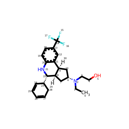 CCN(CCO)[C@@H]1C[C@@H]2[C@H](C1)c1cc(C(F)(F)F)ccc1N[C@H]2C1C=CC=CC1